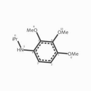 COc1ccc(NC(C)C)c(OC)c1OC